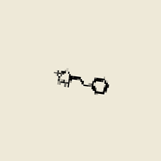 [CH](Cc1nn[nH]n1)c1ccccc1